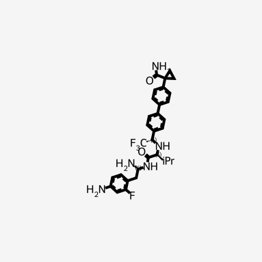 CC(C)[C@H](N[C@@H](c1ccc(-c2ccc(C3(C(N)=O)CC3)cc2)cc1)C(F)(F)F)C(=O)N[C@H](N)Cc1ccc(N)cc1F